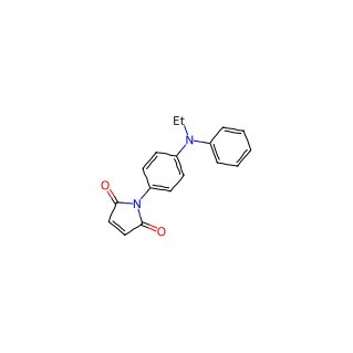 CCN(c1ccccc1)c1ccc(N2C(=O)C=CC2=O)cc1